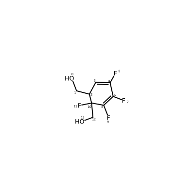 OCC1C=C(F)C(F)=C(F)C1(F)CO